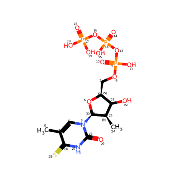 Cc1cn([C@H]2O[C@@H](COP(=O)(O)OP(=O)(O)OP(=O)(O)O)C(O)[C@H]2C)c(=O)[nH]c1=S